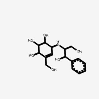 OCC1=CC(NC(CO)C(O)c2ccccc2)C(O)C(O)C1O